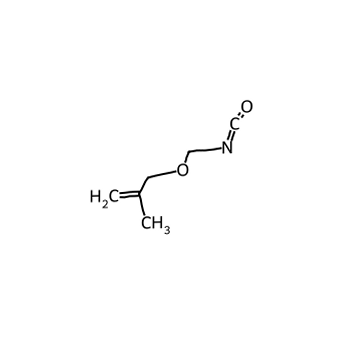 C=C(C)COCN=C=O